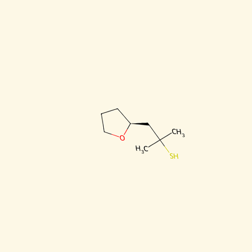 CC(C)(S)C[C@@H]1CCCO1